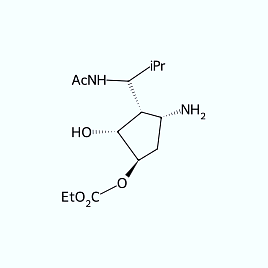 CCOC(=O)O[C@@H]1C[C@@H](N)[C@@H](C(NC(C)=O)C(C)C)[C@H]1O